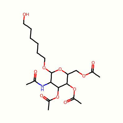 CC(=O)NC1C(OCCCCCCO)OC(COC(C)=O)C(OC(C)=O)C1OC(C)=O